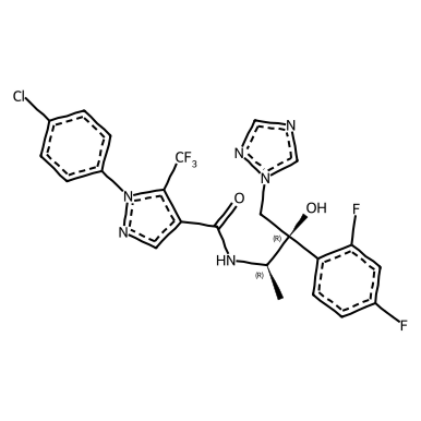 C[C@@H](NC(=O)c1cnn(-c2ccc(Cl)cc2)c1C(F)(F)F)[C@](O)(Cn1cncn1)c1ccc(F)cc1F